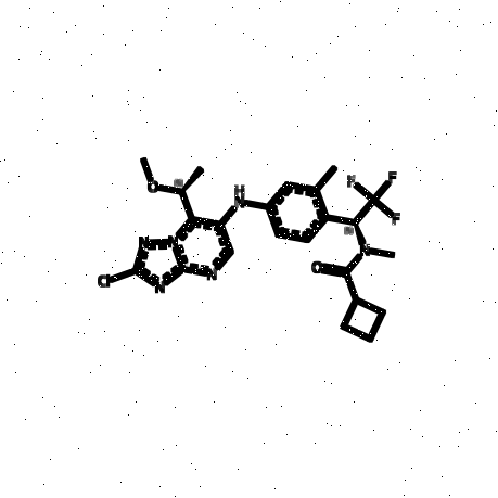 CO[C@@H](C)c1c(Nc2ccc([C@H](N(C)C(=O)C3CCC3)C(F)(F)F)c(C)c2)cnc2nc(Cl)nn12